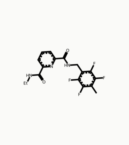 CCNC(=O)c1cccc(C(=O)NCc2c(F)c(F)c(C)c(F)c2F)n1